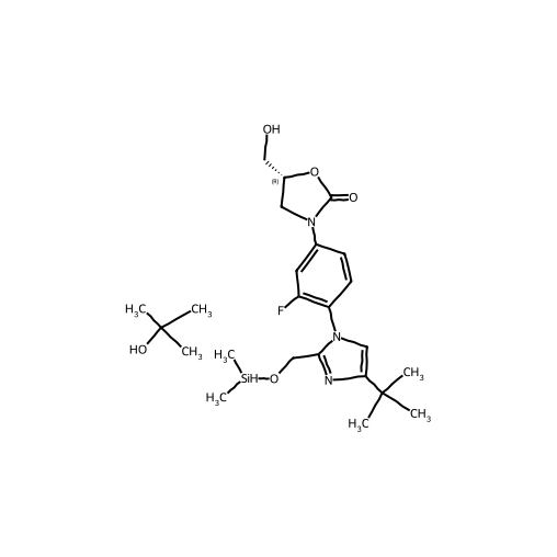 CC(C)(C)O.C[SiH](C)OCc1nc(C(C)(C)C)cn1-c1ccc(N2C[C@H](CO)OC2=O)cc1F